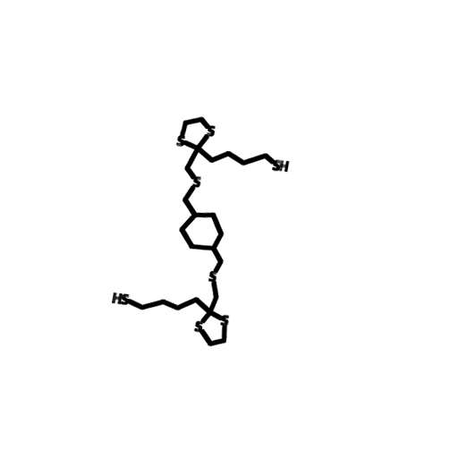 SCCCCC1(CSCC2CCC(CSCC3(CCCCS)SCCS3)CC2)SCCS1